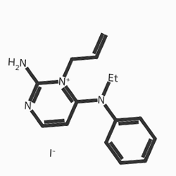 C=CC[n+]1c(N(CC)c2ccccc2)ccnc1N.[I-]